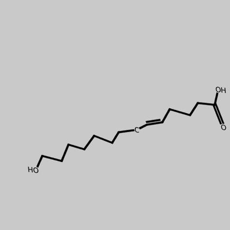 O=C(O)CCCC=CCCCCCCCCO